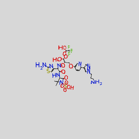 CC1(C)C(NC(=O)C(=NOC(COc2ccc(-c3cnn(CCCN)c3)nc2)C(=O)O)c2csc(N)n2)C(=O)N1OS(=O)(=O)O.O=C(O)C(F)(F)F